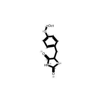 CCCCCCCCOc1ccc(CC2SC(=O)NC2=O)cc1